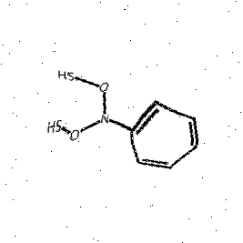 SON(OS)c1ccccc1